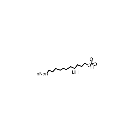 CCCCCCCCCCCCCCCCCCCCO[SH](=O)=O.[LiH]